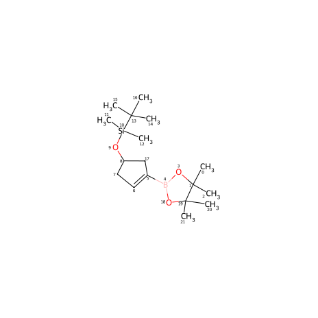 CC1(C)OB(C2=CCC(O[Si](C)(C)C(C)(C)C)C2)OC1(C)C